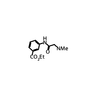 CCOC(=O)c1cccc(NC(=O)CNC)c1